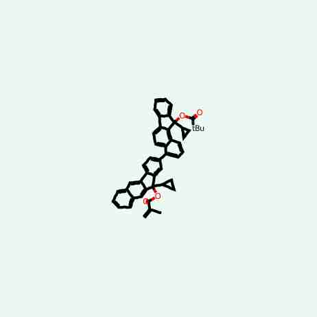 C=C(C)C(=O)OC1(C2CC2)c2cc(-c3cccc4c5c(ccc34)-c3ccccc3C5(OC(=O)C(C)(C)C)C3CC3)ccc2-c2cc3ccccc3cc21